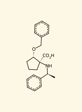 C[C@H](N[C@@]1(C(=O)O)CCC[C@@H]1OCc1ccccc1)c1ccccc1